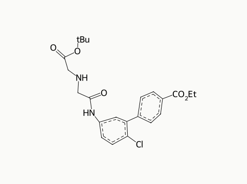 CCOC(=O)c1ccc(-c2cc(NC(=O)CNCC(=O)OC(C)(C)C)ccc2Cl)cc1